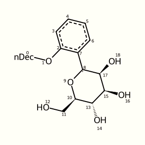 CCCCCCCCCCOc1ccccc1[C]1O[C@H](CO)[C@@H](O)[C@H](O)[C@@H]1O